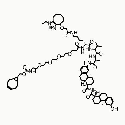 CCn1nnc2c1CCCCCC2OCC(=O)NCCCC[C@@H](NC(=O)CCOCCOCCOCCOCCNC(=O)OCC1C2CCC#CCCC21)C(=O)N[C@H](C(=O)N[C@@H](C)C(=O)Nc1ccc2c(c1)[C@@]1(C)CCC[C@](C)(C(=O)NC(=O)[C@@]3(C)CCC[C@]4(C)c5cc(O)ccc5CC[C@@H]34)[C@@H]1CC2)C(C)C